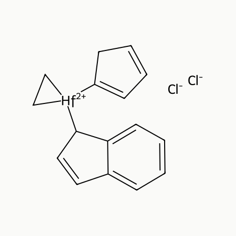 C1=CC[C]([Hf+2]2([CH]3C=Cc4ccccc43)[CH2][CH2]2)=C1.[Cl-].[Cl-]